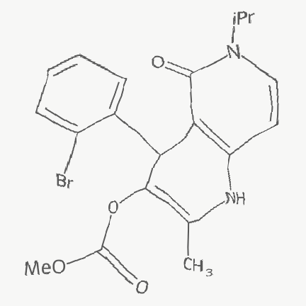 COC(=O)OC1=C(C)Nc2ccn(C(C)C)c(=O)c2C1c1ccccc1Br